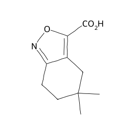 CC1(C)CCc2noc(C(=O)O)c2C1